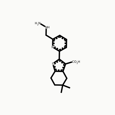 CC1(C)CCc2sc(-c3cccc(CNN)n3)c(C(=O)O)c2C1